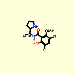 CC[C@H](NC(=O)c1c(O)c(Cl)cc(Cl)c1OC)C1CCCN1